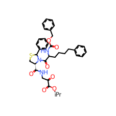 CC(C)OC(=O)C(=O)CNC(=O)[C@@H]1CSC(c2ccccc2)N1C(=O)C(CCCCc1ccccc1)NC(=O)OCc1ccccc1